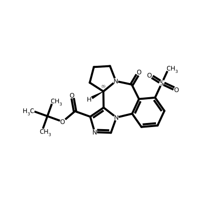 CC(C)(C)OC(=O)c1ncn2c1[C@@H]1CCCN1C(=O)c1c-2cccc1S(C)(=O)=O